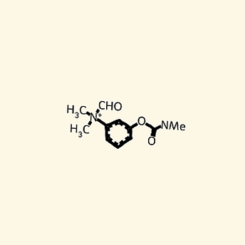 CNC(=O)Oc1cccc([N+](C)(C)C=O)c1